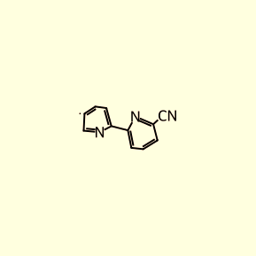 N#Cc1cccc(-c2cc[c]cn2)n1